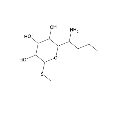 CCCC(N)C1OC(SC)C(O)C(O)C1O